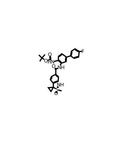 CC(C)(C)OC(=O)Nc1ccc(-c2ccc(F)cc2)cc1NC(=O)c1ccc(C2(S(C)(=N)=O)CC2)cc1